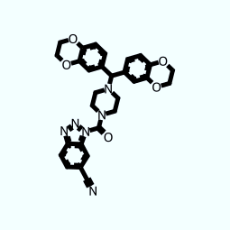 N#Cc1ccc2nnn(C(=O)N3CCN(C(c4ccc5c(c4)OCCO5)c4ccc5c(c4)OCCO5)CC3)c2c1